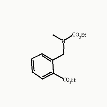 CCOC(=O)c1ccccc1CN(C)C(=O)OCC